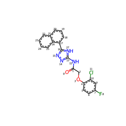 O=C(COc1ccc(F)cc1Cl)Nc1nnc(-c2cccc3ccccc23)[nH]1